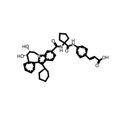 O=C(O)/C=C/c1ccc(NC(=O)C2(NC(=O)c3ccc4c(C5CCCCC5)c5n(c4c3)C[C@@H](O)[C@@H](O)c3ccccc3-5)CCCC2)cc1